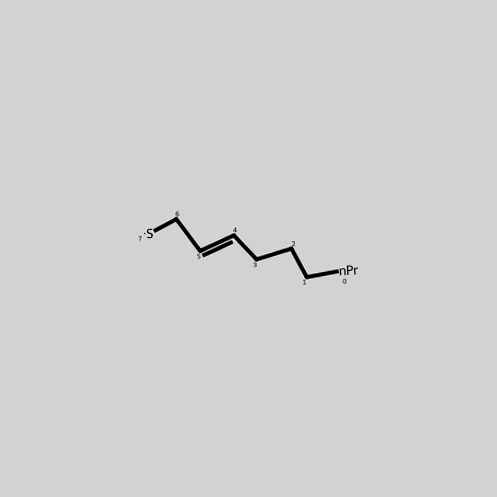 CCCCCCC=CC[S]